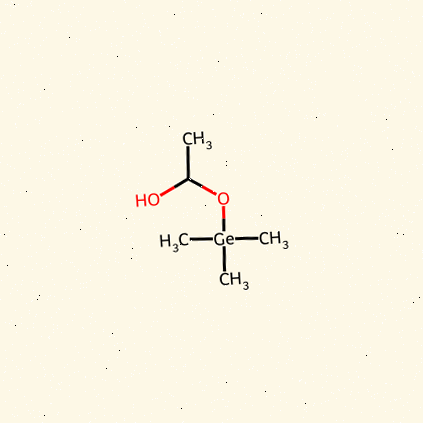 CC(O)[O][Ge]([CH3])([CH3])[CH3]